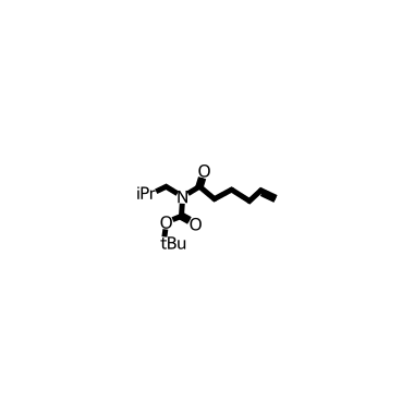 C=CCCCC(=O)N(CC(C)C)C(=O)OC(C)(C)C